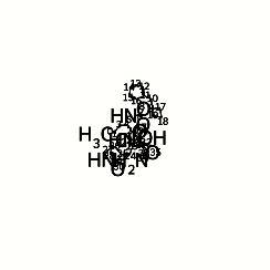 CC(C)CC(NC(=O)OC1(Cc2ccccc2)CCC1)C(=O)NC(C[C@@H]1CCNC1=O)C(O)C(N)=O